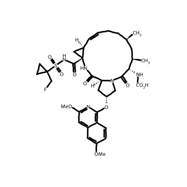 COc1ccc2c(O[C@@H]3C[C@H]4C(=O)N[C@]5(C(=O)NS(=O)(=O)C6(CF)CC6)C[C@H]5C=CCC[C@@H](C)C[C@@H](C)[C@H](NC(=O)O)C(=O)N4C3)nc(OC)cc2c1